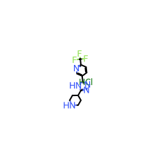 Cl.FC(F)(F)c1ccc(-c2nnc(C3CCNCC3)[nH]2)cn1